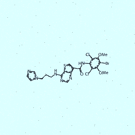 COc1c(Cl)c(NC(=O)c2csc3c(NCCCn4ccnc4)ncnc23)c(Cl)c(OC)c1Br